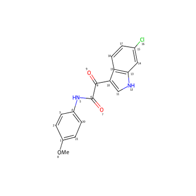 COc1ccc(NC(=O)C(=O)c2c[nH]c3cc(Cl)ccc23)cc1